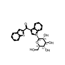 O=C(c1cc2ccccc2s1)c1cn([C@@H]2O[C@H](CO)[C@@H](O)[C@H](O)[C@H]2O)c2ccccc12